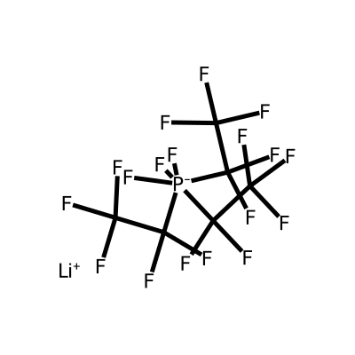 FC(F)(F)C(F)(F)[P-](F)(F)(F)(C(F)(F)C(F)(F)F)C(F)(F)C(F)(F)F.[Li+]